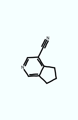 N#Cc1cncc2c1CCC2